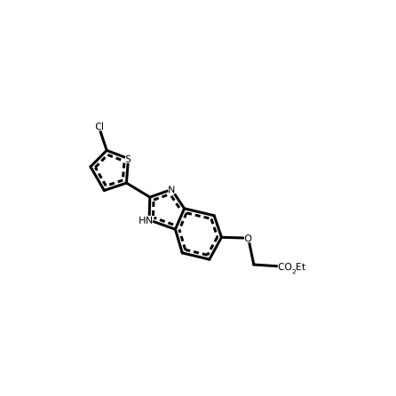 CCOC(=O)COc1ccc2[nH]c(-c3ccc(Cl)s3)nc2c1